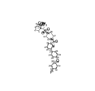 CC1(C)C2CCC1(CS(=O)(=O)N1CCN(C(=O)c3cccc(-c4ccc(Oc5ccc(F)cc5)cc4)n3)CC1)C(=O)C2